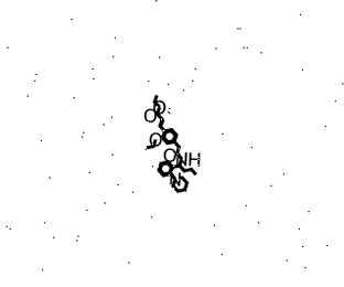 CCCC(NC(=O)Cc1ccc(/C=C/C(=O)OCC)c(OCC)c1)c1ccccc1N1CCCCC1